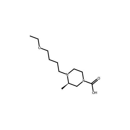 CCOCCCCN1CCN(C(=O)O)C[C@H]1C